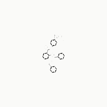 O=C(Oc1ccc([N+](=O)[O-])cc1)c1cccc(OCc2ccccc2)c1OCc1ccccc1